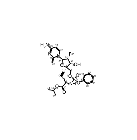 C#C[C@]1(COP(=O)(NC(C)C(=O)OC(C)C)Oc2ccccc2)O[C@@H](N2C=CC(N)=NC2=C)[C@H](F)[C@@H]1O